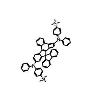 C[Si](C)(C)c1ccc(N(c2ccccc2)c2ccc3c(c2)C2(c4ccccc4-c4ccccc42)c2c-3c3ccccc3c3cc(N(c4ccccc4)c4ccc([Si](C)(C)C)cc4)ccc23)cc1